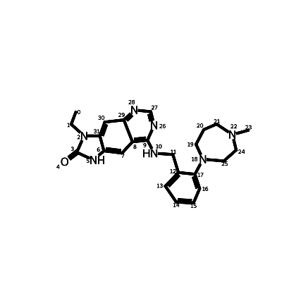 CCn1c(=O)[nH]c2cc3c(NCc4ccccc4N4CCCN(C)CC4)ncnc3cc21